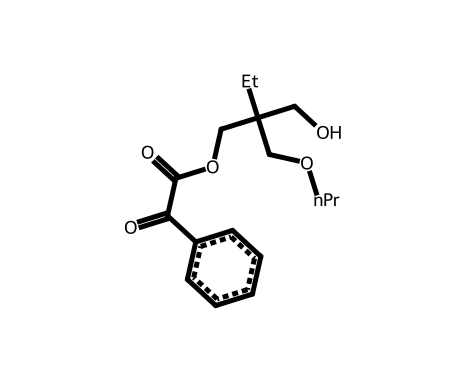 CCCOCC(CC)(CO)COC(=O)C(=O)c1ccccc1